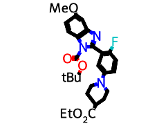 CCOC(=O)C1CCN(c2ccc(F)c(-c3nc4cc(OC)ccc4n3C(=O)OC(C)(C)C)c2)CC1